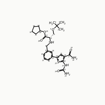 CC(C)(C)OC[C@H](NCc1cccc(-c2cc(C(N)=O)c(NC(N)=O)s2)c1)C(=O)OC1CCCC1